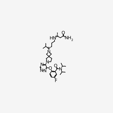 CC(C)[C@@H](CCCN[C@@H](C)CC(N)=O)N1CC2(CCN(c3ncnnc3Oc3ccc(F)cc3C(=O)N(C(C)C)C(C)C)C2)C1